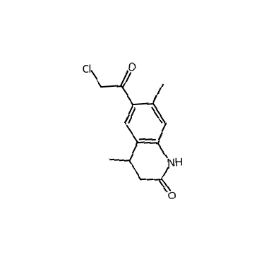 Cc1cc2c(cc1C(=O)CCl)C(C)CC(=O)N2